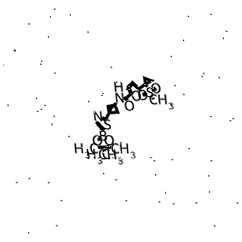 CC1(C)OB(c2cnc(C34CC(NC(=O)c5ccc(C6(S(C)(=O)=O)CC6)o5)(C3)C4)s2)OC1(C)C